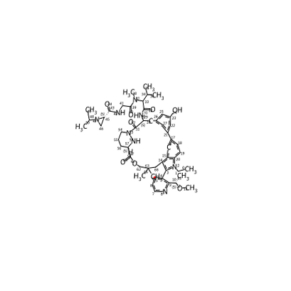 CCn1c(-c2cccnc2[C@H](C)OC)c2c3cc(ccc31)-c1cc(O)cc(c1)C[C@H](NC(=O)C(C(C)C)N(C)C(=O)CNC(=O)[C@@H]1CN1C(C)C)C(=O)N1CCC[C@H](N1)C(=O)OCC(C)(C)C2